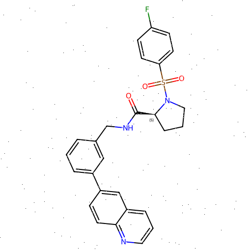 O=C(NCc1cccc(-c2ccc3ncccc3c2)c1)[C@@H]1CCCN1S(=O)(=O)c1ccc(F)cc1